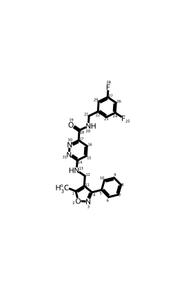 Cc1onc(-c2ccccc2)c1CNc1ccc(C(=O)NCc2cc(F)cc(F)c2)nn1